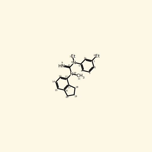 CCc1cccc(N(CC)C(=N)N(C)c2cccc3c2CCC3)c1